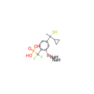 CC(S)(c1ccc(C(F)(F)P(=O)(O)O)c(Br)c1)C1CC1.[NaH].[NaH]